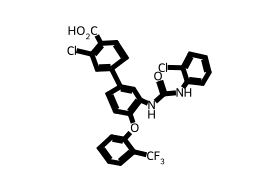 O=C(Nc1ccccc1Cl)Nc1cc(-c2ccc(C(=O)O)c(Cl)c2)ccc1Oc1ccccc1C(F)(F)F